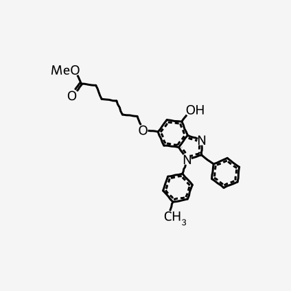 COC(=O)CCCCCOc1cc(O)c2nc(-c3ccccc3)n(-c3ccc(C)cc3)c2c1